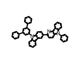 c1ccc(-c2cc(-c3ccccc3)cc(-n3c4ccccc4c4cc(-c5ccc6c(n5)c5ccccc5n6-c5ccccc5)ccc43)c2)cc1